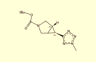 Cn1nnc([C@H]2C3CN(C(=O)OC(C)(C)C)C[C@@H]32)n1